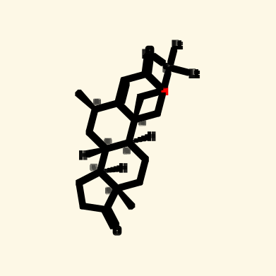 CC[Si](CC)(CC)OC[C@]12CCC(=O)C=C1[C@H](C)C[C@@H]1[C@@H]2CC[C@]2(C)C(=O)CC[C@@H]12